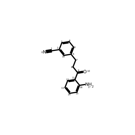 N#Cc1cccc(CCC(=O)c2ccccc2N)c1